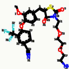 COc1cc(C=C2SC(=O)N(CCOCCOCCN)C2=O)ccc1Oc1ccc(C#N)cc1C(F)(F)F